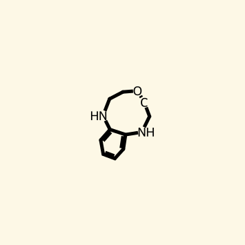 c1ccc2c(c1)NCCOCCN2